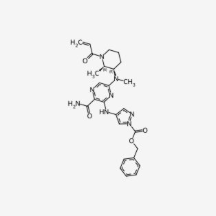 C=CC(=O)N1CCC[C@@H](N(C)c2cnc(C(N)=O)c(Nc3cnn(C(=O)OCc4ccccc4)c3)n2)[C@H]1C